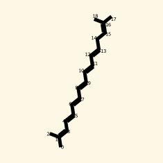 CC(C)=C/C=C/C=C/C=C/C=C/C=C/CC=C(C)C